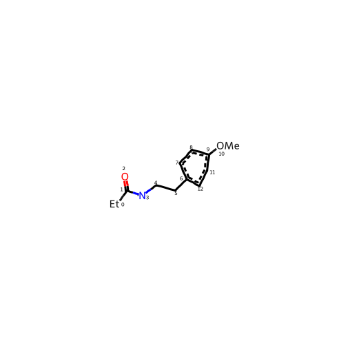 CCC(=O)[N]CCc1ccc(OC)cc1